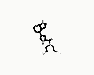 CCCN(CCC)C(=O)c1cc(-c2ccnc3[nH]ccc23)c[nH]1